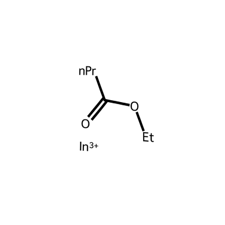 CCCC(=O)OCC.[In+3]